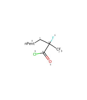 CCCCCCC(F)(C(=O)Cl)C(F)(F)F